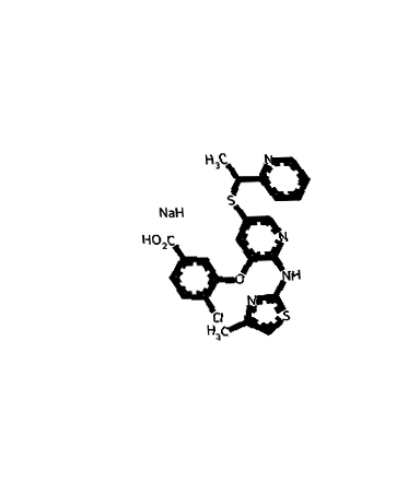 Cc1csc(Nc2ncc(SC(C)c3ccccn3)cc2Oc2cc(C(=O)O)ccc2Cl)n1.[NaH]